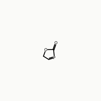 O=C1OCC=P1